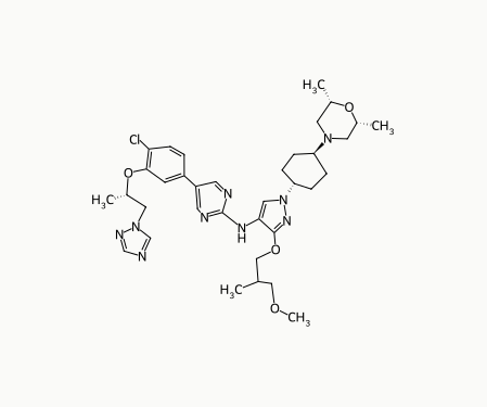 COCC(C)COc1nn([C@H]2CC[C@H](N3C[C@@H](C)O[C@@H](C)C3)CC2)cc1Nc1ncc(-c2ccc(Cl)c(O[C@@H](C)Cn3cncn3)c2)cn1